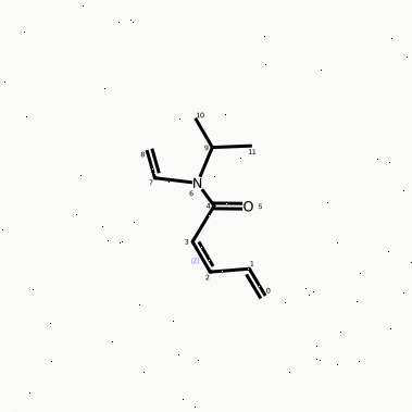 C=C/C=C\C(=O)N(C=C)C(C)C